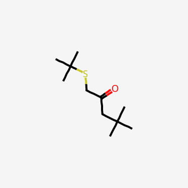 CC(C)(C)CC(=O)CSC(C)(C)C